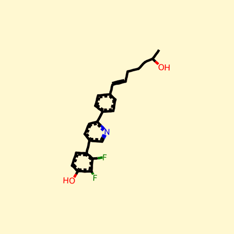 CC(O)CCCC=Cc1ccc(-c2ccc(-c3ccc(O)c(F)c3F)cn2)cc1